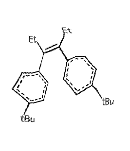 CCC(=C(CC)c1ccc(C(C)(C)C)cc1)c1ccc(C(C)(C)C)cc1